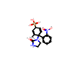 CC1=CC(S(=O)(=O)O)C=CC1(c1ccccc1[N+](=O)[O-])N1CCNC1=O